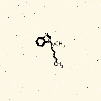 CCCCCN(C)n1cnc2ccccc21